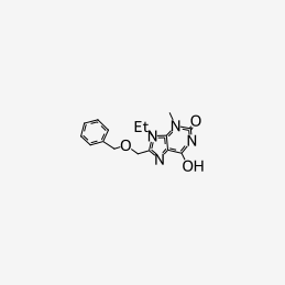 CCn1c(COCc2ccccc2)nc2c(O)nc(=O)n(C)c21